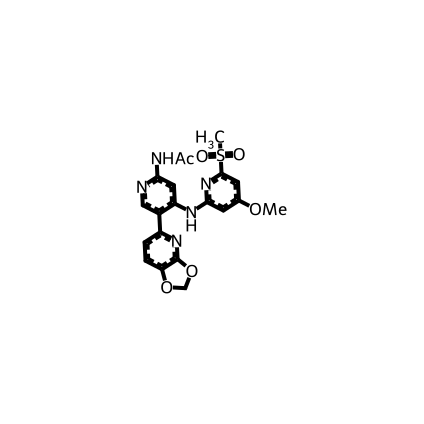 COc1cc(Nc2cc(NC(C)=O)ncc2-c2ccc3c(n2)OCO3)nc(S(C)(=O)=O)c1